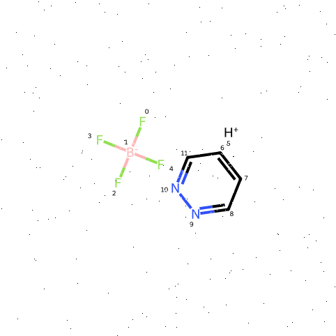 F[B-](F)(F)F.[H+].c1ccnnc1